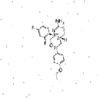 CCOc1ccc([C@H]2C[C@H]3CSC(N)=N[C@@]3(c3ccc(F)cc3F)CO2)cc1